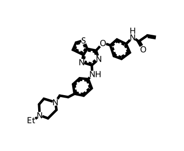 C=CC(=O)Nc1cccc(Oc2nc(Nc3ccc(CCN4CCN(CC)CC4)cc3)nc3ccsc23)c1